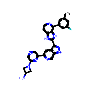 Cc1cc(F)cc(-c2nccc3[nH]c(-c4n[nH]c5cnc(-c6cncc(N7CC(N)C7)n6)cc45)nc23)c1